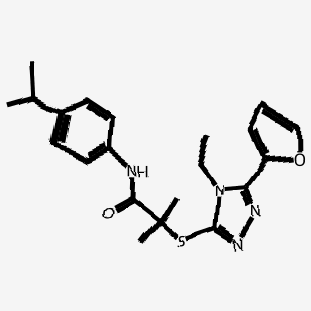 CCn1c(SC(C)(C)C(=O)Nc2ccc(C(C)C)cc2)nnc1-c1ccco1